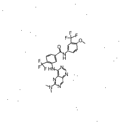 COc1ccc(NC(=O)c2ccc(C(F)(F)F)c(Nc3ncnc4cnc(N(C)C)nc34)c2)cc1C(F)(F)F